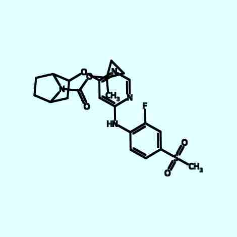 CC1(OC(=O)N2C3CCC2C(Oc2cc(Nc4ccc(S(C)(=O)=O)cc4F)ncn2)C3)CC1